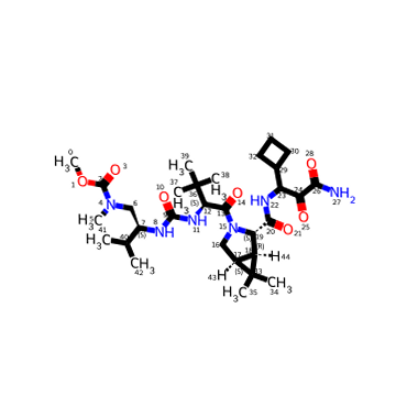 COC(=O)N(C)C[C@@H](NC(=O)N[C@H](C(=O)N1C[C@H]2[C@@H]([C@H]1C(=O)NC(C(=O)C(N)=O)C1CCC1)C2(C)C)C(C)(C)C)C(C)C